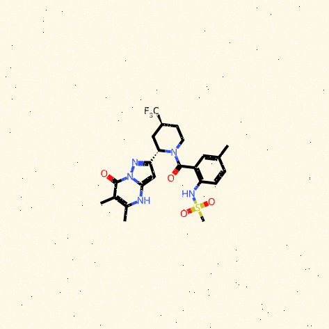 Cc1ccc(NS(C)(=O)=O)c(C(=O)N2CC[C@H](C(F)(F)F)C[C@H]2c2cc3[nH]c(C)c(C)c(=O)n3n2)c1